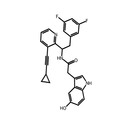 O=C(Cc1c[nH]c2ccc(O)cc12)NC(Cc1cc(F)cc(F)c1)c1ncccc1C#CC1CC1